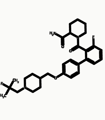 CC(C)(F)CN1CCC(COc2ccc(-c3cccc(F)c3C(=O)N3CCCCC3C(N)=O)cc2)CC1